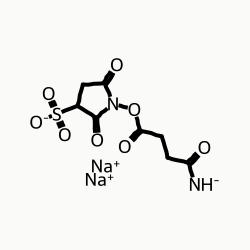 [NH-]C(=O)CCC(=O)ON1C(=O)CC(S(=O)(=O)[O-])C1=O.[Na+].[Na+]